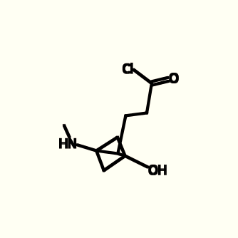 CNC12CC(O)(C1)C2CCC(=O)Cl